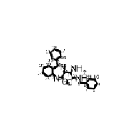 N[C@@H](C(=O)NCc1ccccc1)c1nc(-c2ccccc2)c2ccccc2nc1=O